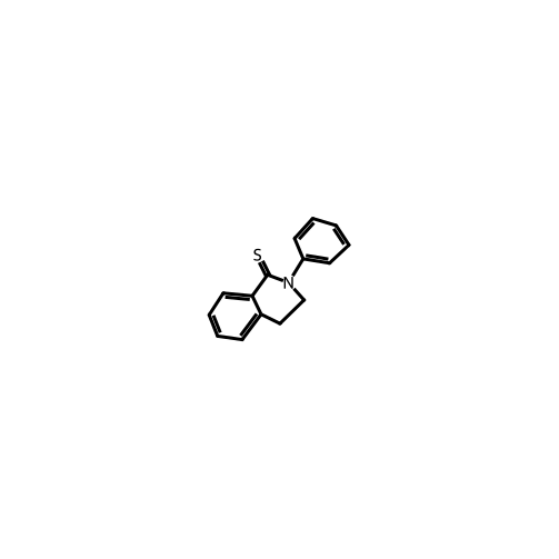 S=C1c2ccccc2CCN1c1ccccc1